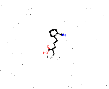 CCC(=CC=Cc1ccccc1C#N)C(=O)O